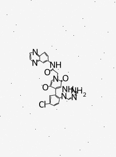 COc1cn(CC(=O)Nc2ccc3nccnc3c2)c(=O)cc1-c1cc(Cl)ccc1N(N)/C=N\N